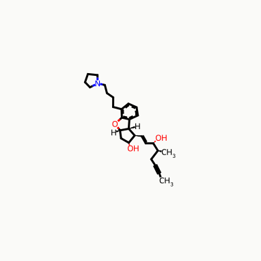 CC#CC[C@H](C)[C@@H](O)/C=C/[C@@H]1[C@H]2c3cccc(CCCCN4CCCC4)c3O[C@H]2C[C@H]1O